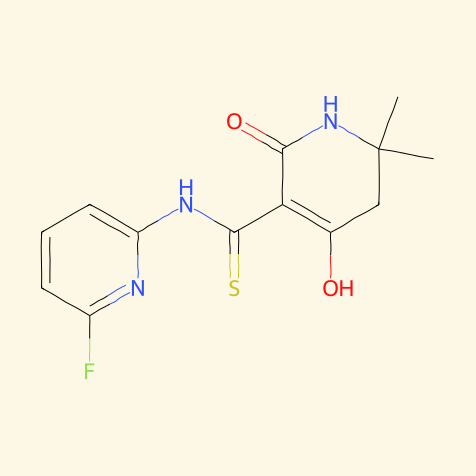 CC1(C)CC(O)=C(C(=S)Nc2cccc(F)n2)C(=O)N1